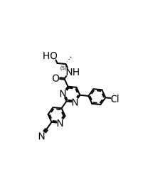 C[C@@H](CO)NC(=O)c1cc(-c2ccc(Cl)cc2)nc(-c2ccc(C#N)nc2)n1